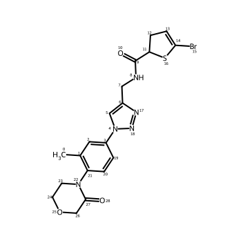 Cc1cc(-n2cc(CNC(=O)C3CC=C(Br)S3)nn2)ccc1N1CCOCC1=O